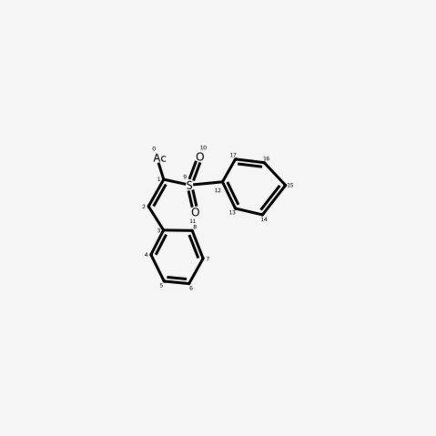 CC(=O)C(=Cc1ccccc1)S(=O)(=O)c1ccccc1